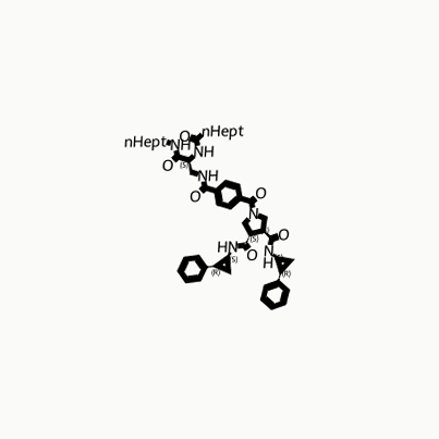 CCCCCCCNC(=O)[C@H](CNC(=O)c1ccc(C(=O)N2C[C@@H](C(=O)N[C@H]3C[C@@H]3c3ccccc3)[C@H](C(=O)N[C@H]3C[C@@H]3c3ccccc3)C2)cc1)NC(=O)CCCCCCC